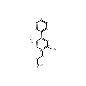 CCCCCCCCCCCC[n+]1ccc(-c2ccccc2)cc1CCC.[Cl-]